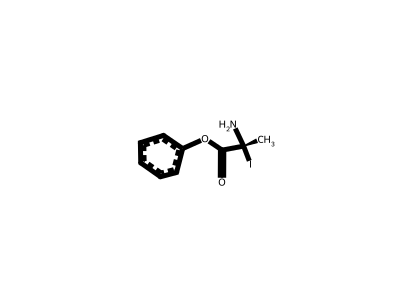 C[C@@](N)(I)C(=O)Oc1ccccc1